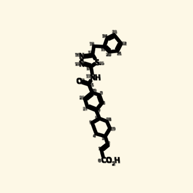 O=C(O)C=CC1CCC(c2ccc(C(=O)Nc3nnc(Cc4ccccc4)s3)cc2)CC1